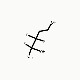 OCCC(F)(F)C(O)(F)C(F)(F)F